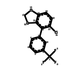 FC(F)(F)c1[c]ccc(-c2c(Cl)ccc3c2OCO3)c1